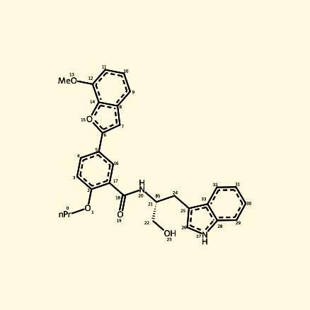 CCCOc1ccc(-c2cc3cccc(OC)c3o2)cc1C(=O)N[C@@H](CO)Cc1c[nH]c2ccccc12